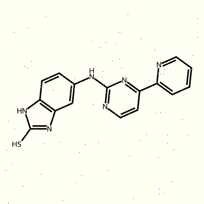 Sc1nc2cc(Nc3nccc(-c4ccccn4)n3)ccc2[nH]1